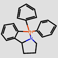 c1ccc([PH]2(c3ccccc3)c3ccccc3C3CCCN32)cc1